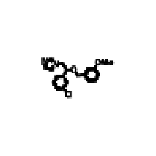 COc1cccc(COC(Cn2ccnc2)c2cccc(Cl)c2)c1